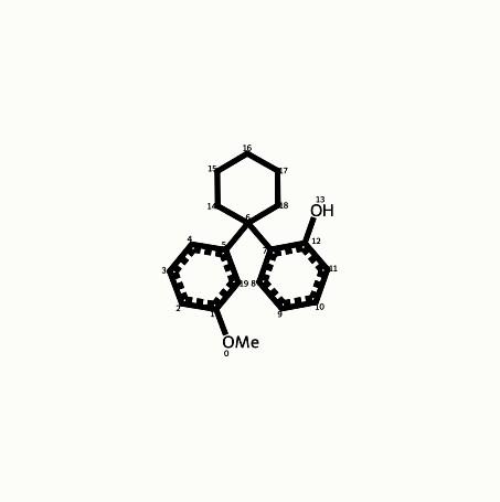 COc1cccc(C2(c3ccccc3O)CCCCC2)c1